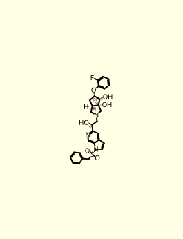 O=S(=O)(Cc1ccccc1)n1ccc2cc([C@@H](O)CN3C[C@H]4C[C@H](Oc5ccccc5F)[C@H](O)[C@@]4(O)C3)ncc21